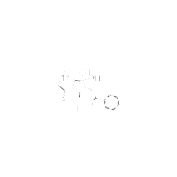 C/C=C(/C(C)=O)[C@H]1[C@H](C)[C@H](OC(=O)c2ccccc2)[C@](C)(O)[C@H]1C(C)=O